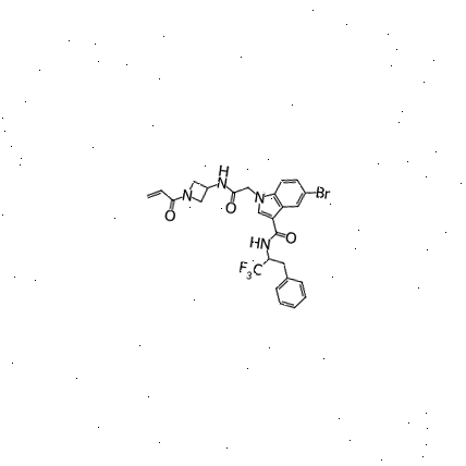 C=CC(=O)N1CC(NC(=O)Cn2cc(C(=O)NC(Cc3ccccc3)C(F)(F)F)c3cc(Br)ccc32)C1